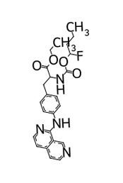 CCCC(F)OC(=O)NC(Cc1ccc(Nc2nccc3ccncc23)cc1)C(=O)OCC